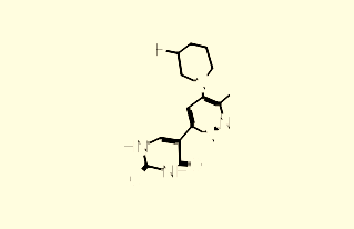 Cc1nnc(-c2c[nH]c(=O)[nH]c2=O)cc1N1CCCC(F)C1